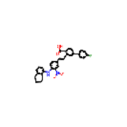 O=C(O)c1ccc(-c2ccc(F)cc2)cc1C=Cc1ccc(Nc2cccc3c2CCCC3)c([N+](=O)[O-])c1